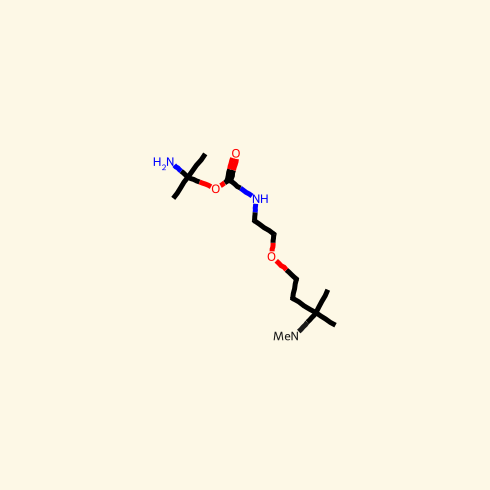 CNC(C)(C)CCOCCNC(=O)OC(C)(C)N